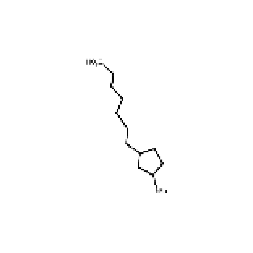 CCCCC1CCC(CCCCCCC(=O)O)C1